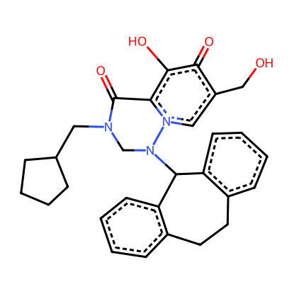 O=C1c2c(O)c(=O)c(CO)cn2N(C2c3ccccc3CCc3ccccc32)CN1CC1CCCC1